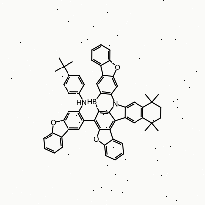 CC(C)(C)c1ccc(Nc2cc3oc4ccccc4c3cc2-c2c3c4c(c5cc6c(cc5n4-c4cc5oc7ccccc7c5cc4B3)C(C)(C)CCC6(C)C)c3c2oc2ccccc23)cc1